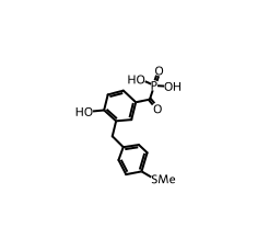 CSc1ccc(Cc2cc(C(=O)P(=O)(O)O)ccc2O)cc1